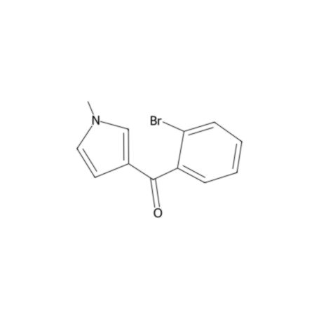 Cn1ccc(C(=O)c2ccccc2Br)c1